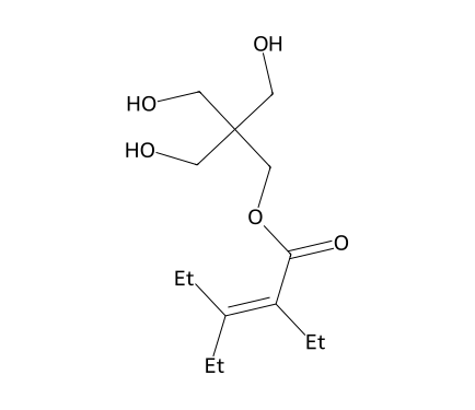 CCC(CC)=C(CC)C(=O)OCC(CO)(CO)CO